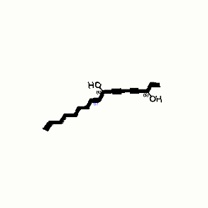 C=CCCCCC/C=C/[C@H](O)C#CC#C[C@@H](O)C=C